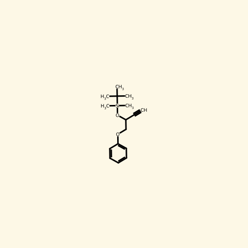 C#CC(COc1ccccc1)O[Si](C)(C)C(C)(C)C